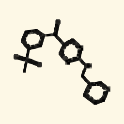 CS(=O)(=O)c1cccc(C(=O)c2cnc(NCc3cccnc3)nc2)c1